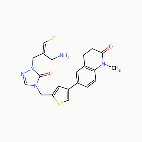 CN1C(=O)CCc2cc(-c3csc(Cn4cnn(C/C(=C/F)CN)c4=O)c3)ccc21